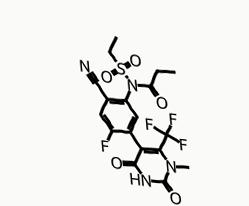 CCC(=O)N(c1cc(-c2c(C(F)(F)F)n(C)c(=O)[nH]c2=O)c(F)cc1C#N)S(=O)(=O)CC